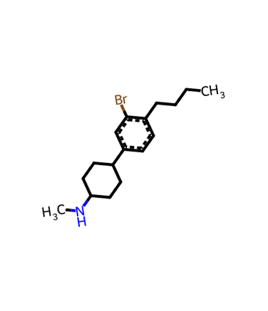 CCCCc1ccc(C2CCC(NC)CC2)cc1Br